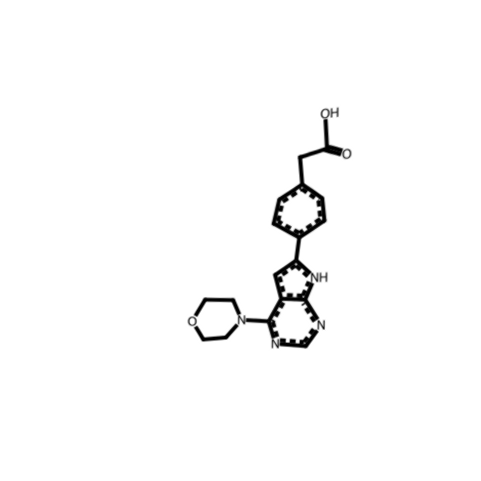 O=C(O)Cc1ccc(-c2cc3c(N4CCOCC4)ncnc3[nH]2)cc1